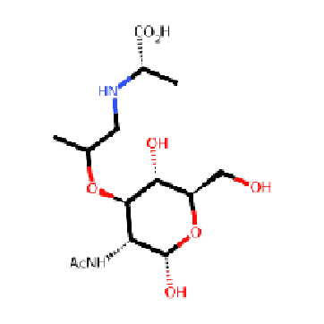 CC(=O)N[C@@H]1[C@@H](OC(C)CN[C@@H](C)C(=O)O)[C@H](O)[C@@H](CO)O[C@@H]1O